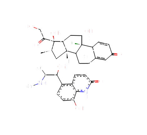 CCC(NC(C)C)C(O)c1ccc(O)c2[nH]c(=O)ccc12.C[C@@H]1C[C@H]2[C@@H]3CCC4=CC(=O)C=C[C@]4(C)[C@@]3(F)[C@@H](O)C[C@]2(C)[C@@]1(O)C(=O)CO